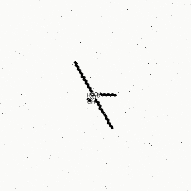 CC(O)=S.CCCCCCCCCCCCCCCCCCO[SiH](OCCCCCCCCCCCCCCCCCC)OOCCCCCCCCC